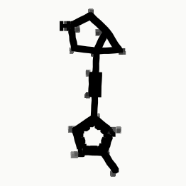 Cc1nc(C#CC23CNCC2C3)cs1